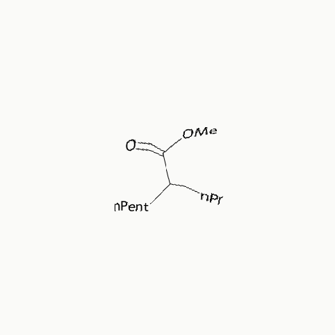 CCCCCC(CCC)C(=O)OC